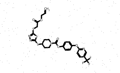 C=CCOC(=O)CSc1nnc(SC2CCN(C(=O)Oc3ccc(Oc4ccc(C(F)(F)F)cn4)cc3)CC2)s1